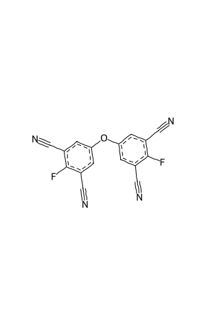 N#Cc1cc(Oc2cc(C#N)c(F)c(C#N)c2)cc(C#N)c1F